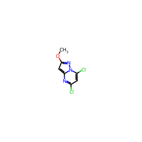 COc1cc2nc(Cl)cc(Cl)n2n1